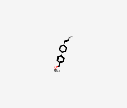 CCCC=C[C@H]1CC[C@H](c2ccc(COCCCC)cc2)CC1